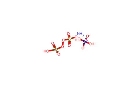 N.O=S(=O)(O)OOS(=O)(=O)O.[O-][I+3]([O-])([O-])O